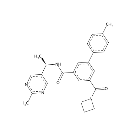 Cc1ccc(-c2cc(C(=O)N[C@H](C)c3cnc(C)nc3)cc(C(=O)N3CCC3)c2)cc1